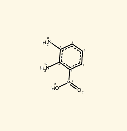 Nc1cccc([P](=O)O)c1N